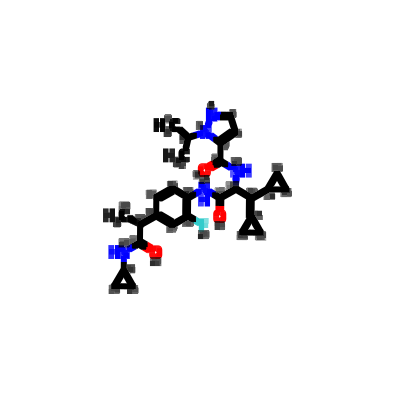 CC(C)n1nccc1C(=O)N[C@H](C(=O)Nc1ccc([C@H](C)C(=O)NC2CC2)cc1F)C(=C1CC1)C1CC1